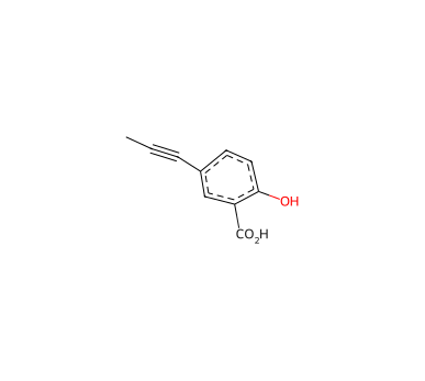 CC#Cc1ccc(O)c(C(=O)O)c1